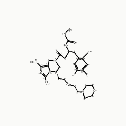 CC(C)(C)OC(=O)NC(CC(=O)N1Cc2c(C(=O)O)nc(C(F)(F)F)n2[C@H](CCOCCN2CCOCC2)C1)Cc1cc(F)c(F)cc1F